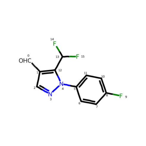 O=Cc1cnn(-c2ccc(F)cc2)c1C(F)F